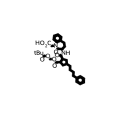 CC(C)(C)C(=O)OCOC(=O)C1CC(CCCCc2ccccc2)CC1C(=O)NC1CCc2ccccc2N(CC(=O)O)C1=O